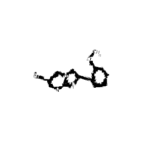 COc1ccccc1-c1cn2cc(Br)cnc2n1